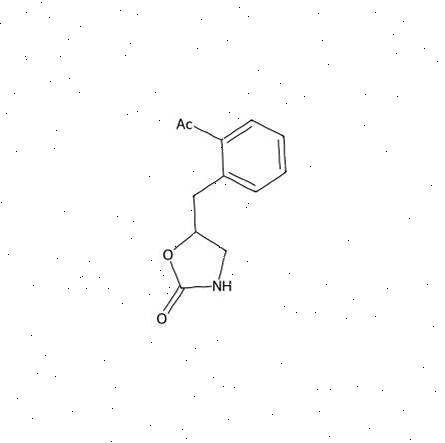 CC(=O)c1ccccc1CC1CNC(=O)O1